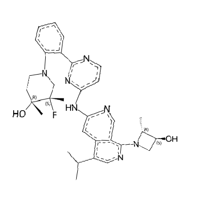 CC(C)c1cnc(N2C[C@H](O)[C@H]2C)c2cnc(Nc3ccnc(-c4ccccc4N4CC[C@@](C)(O)[C@@](C)(F)C4)n3)cc12